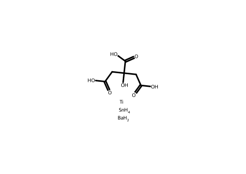 O=C(O)CC(O)(CC(=O)O)C(=O)O.[BaH2].[SnH4].[Ti]